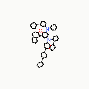 c1ccc(-c2ccc(-c3ccc(N(c4cc(N(c5ccccc5)c5cccc(-c6ccccc6)c5)c5oc6ccc7ccccc7c6c5c4)c4ccccc4-c4ccccc4)cc3)cc2)cc1